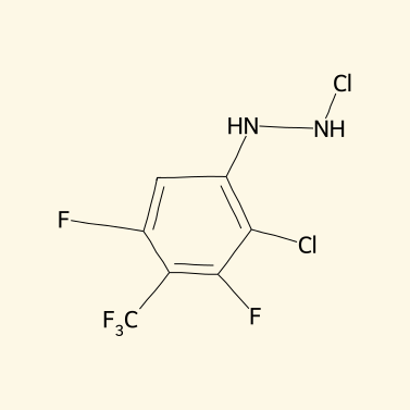 Fc1cc(NNCl)c(Cl)c(F)c1C(F)(F)F